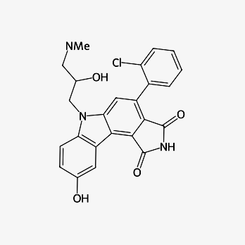 CNCC(O)Cn1c2ccc(O)cc2c2c3c(c(-c4ccccc4Cl)cc21)C(=O)NC3=O